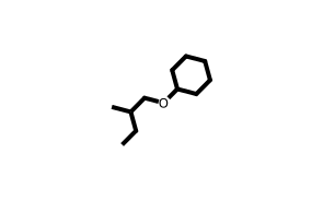 CCC(C)COC1CCCCC1